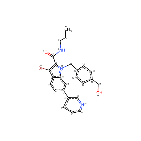 CCCNC(=O)c1c(Br)c2ccc(-c3cccnc3)cc2n1Cc1ccc(CO)cc1